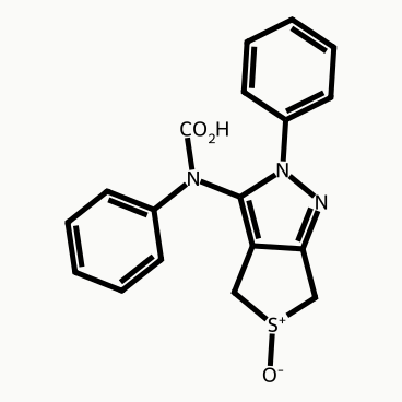 O=C(O)N(c1ccccc1)c1c2c(nn1-c1ccccc1)C[S+]([O-])C2